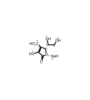 O=C(O)C1=C(O)C(=O)O[C@H]1C(O)CO.[NaH]